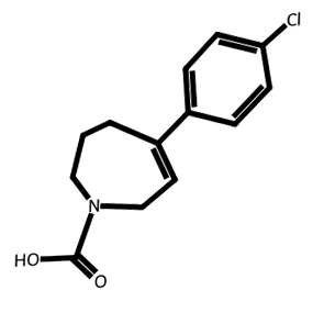 O=C(O)N1CC=C(c2ccc(Cl)cc2)CCC1